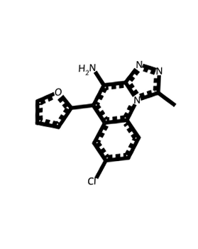 Cc1nnc2c(N)c(-c3ccco3)c3cc(Cl)ccc3n12